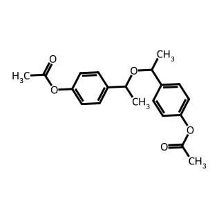 CC(=O)Oc1ccc(C(C)OC(C)c2ccc(OC(C)=O)cc2)cc1